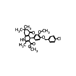 COC(=O)C1=C(C)NC2=C(C(=O)CC(C)(C)C2)C1c1ccc(OCc2ccc(Cl)cc2)c(OC)c1